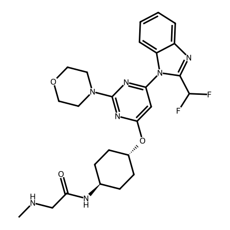 CNCC(=O)N[C@H]1CC[C@H](Oc2cc(-n3c(C(F)F)nc4ccccc43)nc(N3CCOCC3)n2)CC1